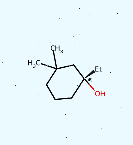 CC[C@@]1(O)CCCC(C)(C)C1